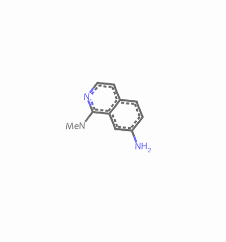 CNc1nccc2ccc(N)cc12